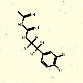 [2H]c1ccc(C([2H])([2H])C([2H])([2H])NC(=N)NC(C)=N)cc1[2H]